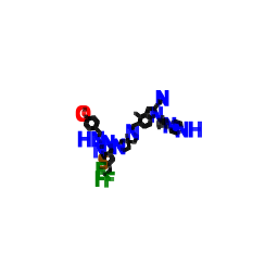 COc1ccc(CNc2nc(N3CCC4(CCN(Cc5ccc6c(cc(C#N)n6C[C@H](C)N6CCNCC6)c5C)C4)C3)c3cc(CC(F)(F)F)sc3n2)cc1